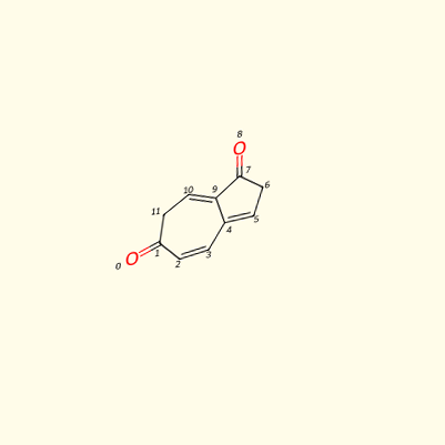 O=C1C=CC2=CCC(=O)C2=CC1